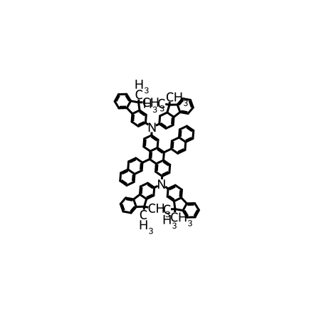 CC1(C)c2ccccc2-c2ccc(N(C3=CC=C4c5ccccc5C(C)(C)C4C3)c3ccc4c(-c5ccc6ccccc6c5)c5cc(N(c6ccc7c(c6)C(C)(C)c6ccccc6-7)c6ccc7c(c6)C(C)(C)c6ccccc6-7)ccc5c(-c5ccc6ccccc6c5)c4c3)cc21